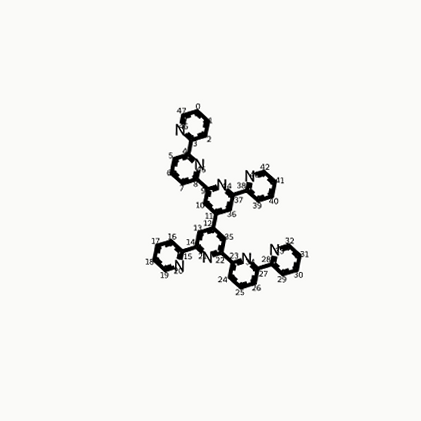 c1ccc(-c2cccc(-c3cc(-c4cc(-c5ccccn5)nc(-c5cccc(-c6ccccn6)n5)c4)cc(-c4ccccn4)n3)n2)nc1